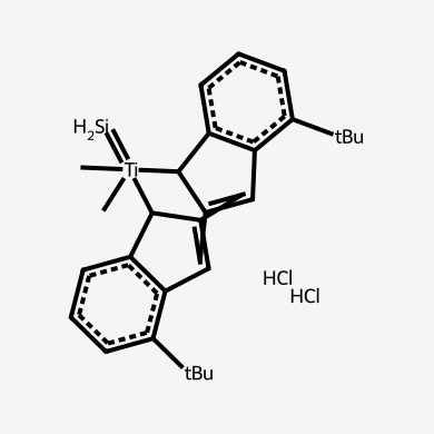 CC1=Cc2c(cccc2C(C)(C)C)[CH]1[Ti]([CH3])([CH3])(=[SiH2])[CH]1C(C)=Cc2c1cccc2C(C)(C)C.Cl.Cl